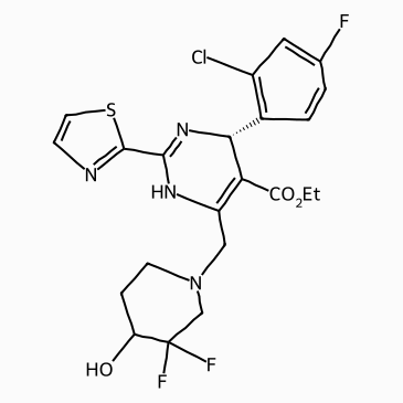 CCOC(=O)C1=C(CN2CCC(O)C(F)(F)C2)NC(c2nccs2)=N[C@@H]1c1ccc(F)cc1Cl